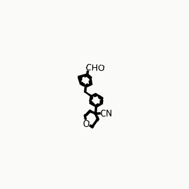 N#CC1(c2cccc(Cc3ccc(C=O)cc3)c2)CCOCC1